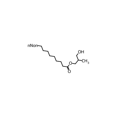 CCCCCCCCCCCCCCCCCC(=O)OCC(C)CO